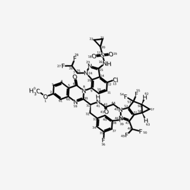 COc1ccc2c(=O)n(-c3ccc(Cl)c4c(NS(=O)(=O)C5CC5)nn(CC(F)F)c34)c([C@H](Cc3cc(F)cc(F)c3)NC(=O)Cn3nc(C(F)F)c4c3C(F)(F)[C@@H]3C[C@H]43)nc2c1